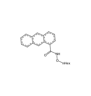 CCCCCCONC(=O)c1cccc2cc3ccccc3cc12